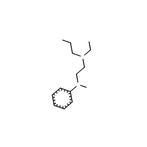 CCN(CCN)CCN(C)c1ccccc1